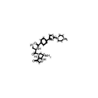 CC(C)CC(NC(=O)c1ccc(-c2csc(N3CCN(C)CC3)n2)cc1)C(=O)N1C[C@H](N)[C@H]2OCC(=O)[C@H]21